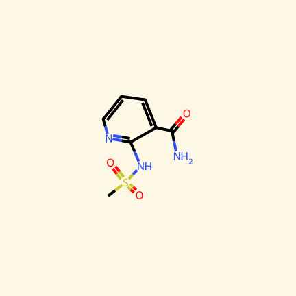 CS(=O)(=O)Nc1ncccc1C(N)=O